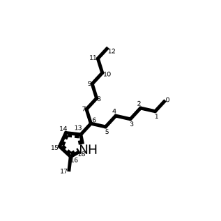 CCCCCCC(CCCCCC)c1ccc(C)[nH]1